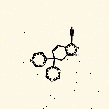 N#Cc1n[nH]c2c1C=CC(c1ccncn1)(c1ccncn1)C2